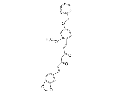 COc1cc(OCc2ccccn2)ccc1/C=C/C(=O)CC(=O)/C=C/c1ccc2c(c1)OCO2